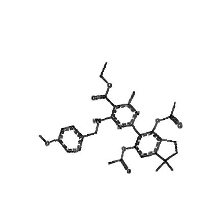 CCOC(=O)c1c(C)nc(-c2c(OC(C)=O)cc3c(c2OC(C)=O)CCC3(C)C)nc1NCc1ccc(OC)cc1